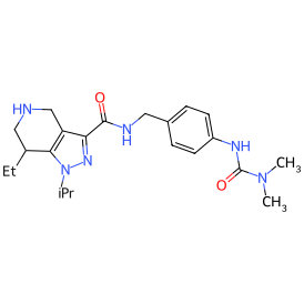 CCC1CNCc2c(C(=O)NCc3ccc(NC(=O)N(C)C)cc3)nn(C(C)C)c21